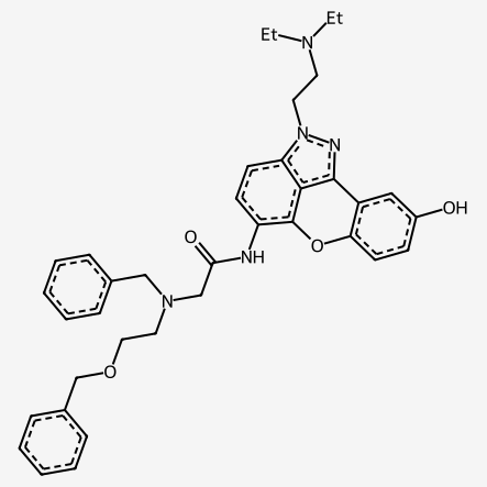 CCN(CC)CCn1nc2c3c(c(NC(=O)CN(CCOCc4ccccc4)Cc4ccccc4)ccc31)Oc1ccc(O)cc1-2